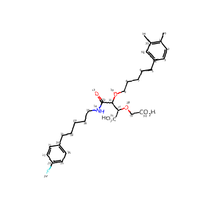 Cc1ccc(CCCCCOC(C(=O)NCCCCCc2ccc(F)cc2)C(OCC(=O)O)C(=O)O)cc1C